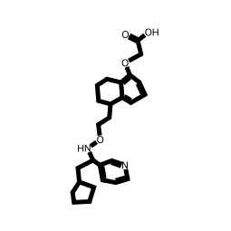 O=C(O)COc1cccc2c1CCCC2CCONC(CC1CCCC1)c1cccnc1